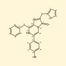 O=c1c(Cc2ccco2)nc2c(Cc3ccccc3)[nH]c(-c3ccc(Br)cc3)cn1-2